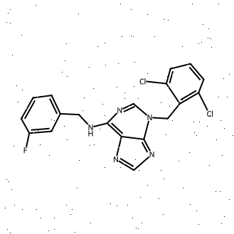 Fc1cccc(CNc2ncn(Cc3c(Cl)cccc3Cl)c3ncnc2-3)c1